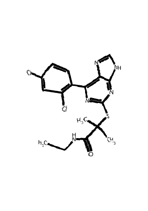 CCNC(=O)C(C)(C)Sc1nc(-c2ccc(Cl)cc2Cl)c2nc[nH]c2n1